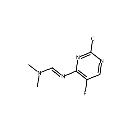 CN(C)/C=N/c1nc(Cl)ncc1F